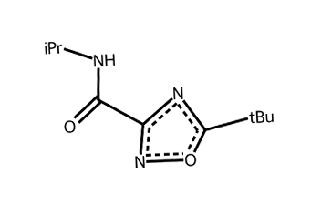 CC(C)NC(=O)c1noc(C(C)(C)C)n1